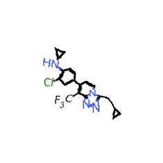 FC(F)(F)c1c(-c2ccc(NC3CC3)c(Cl)c2)ccn2c(CC3CC3)nnc12